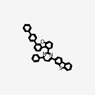 C1=C(c2ccc3c(c2)sc2ccccc23)N=C(c2cccc3oc4c(-c5ccc(-c6ccccc6)cc5)cccc4c23)N=C(c2ccccc2)C1